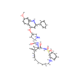 COc1ccc2c(O[C@H]3CN[C@H](C(=O)N[C@]45C[C@H]4/C=C\CCCCCNc4ccccc4S(=O)(=O)NC5=O)C3)cc(-c3ccccc3)nc2c1